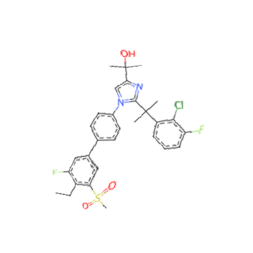 CCc1c(F)cc(-c2ccc(-n3cc(C(C)(C)O)nc3C(C)(C)c3cccc(F)c3Cl)cc2)cc1S(C)(=O)=O